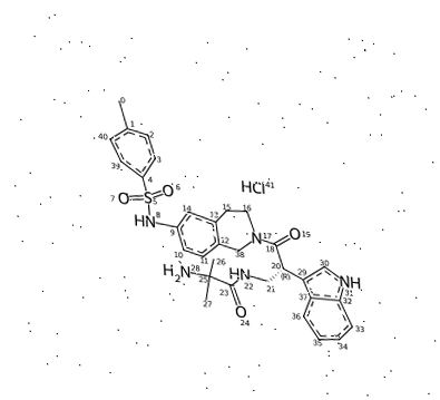 Cc1ccc(S(=O)(=O)Nc2ccc3c(c2)CCN(C(=O)[C@@H](CNC(=O)C(C)(C)N)c2c[nH]c4ccccc24)C3)cc1.Cl